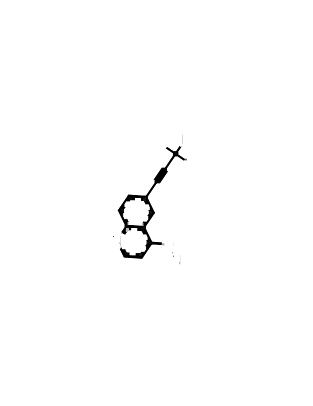 NOc1ccnc2ccc(C#CC(F)(F)F)cc12